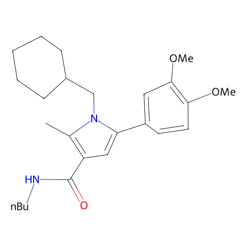 CCCCNC(=O)c1cc(-c2ccc(OC)c(OC)c2)n(CC2CCCCC2)c1C